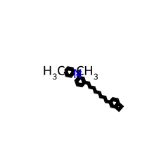 Cc1ccc(N(C)c2cccc(CCCCCCCCc3ccc4c(c3)CC4)c2)cc1